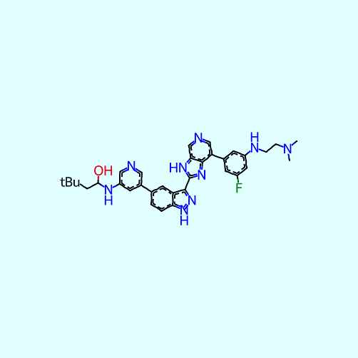 CN(C)CCNc1cc(F)cc(-c2cncc3[nH]c(-c4n[nH]c5ccc(-c6cncc(NC(O)CC(C)(C)C)c6)cc45)nc23)c1